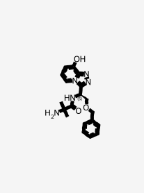 CC(C)(N)C(=O)N[C@H](COCc1ccccc1)c1nnc2c(O)cccn12